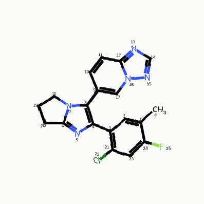 Cc1cc(-c2nc3n(c2-c2ccc4ncnn4c2)CCC3)c(Cl)cc1F